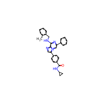 Cc1ccccc1CNc1nc(-c2ccccc2)cn2c(-c3ccc(C(=O)NC4CC4)cc3)cnc12